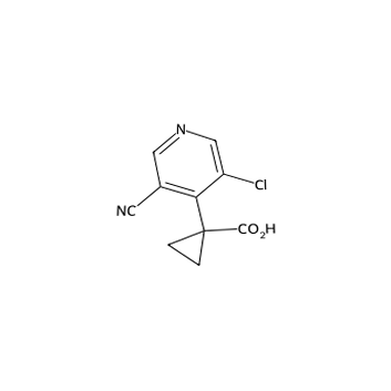 N#Cc1cncc(Cl)c1C1(C(=O)O)CC1